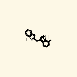 Cc1cccc2c(Cc3cc4ccccc4[nH]3)c[nH]c12